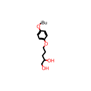 CCC(C)Oc1ccc(OCCCC(O)CO)cc1